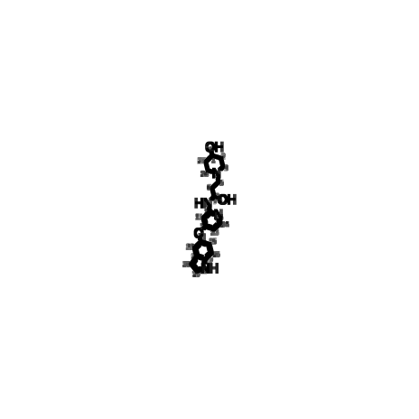 OC1CCN(CC[C@@H](O)Nc2cc(Oc3ccc4[nH]ccc4c3)ccn2)CC1